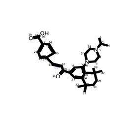 CC(C)N1CCN(c2cc(C(=O)/C=C/c3ccc(C(=O)O)cc3)cc3c2C(C)(C)CCC3(C)C)CC1